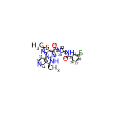 Cc1nc2nc(N[C@@H](C)c3cccnc3)nc(C(=O)N3CC(NC(=O)c4cccc(F)c4)C3)c2s1